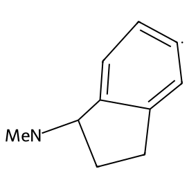 CNC1CCc2c[c]ccc21